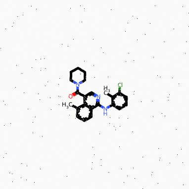 Cc1c(Cl)cccc1Nc1ncc(C(=O)N2CCCCC2)c2c(C)cccc12